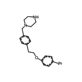 CC(C)c1ccc(OCCc2ccc(CN3CCNCC3)cc2)cc1